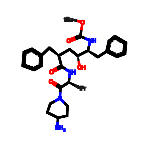 CC(C)[C@H](NC(=O)[C@@H](Cc1ccccc1)C[C@@H](O)[C@H](Cc1ccccc1)NC(=O)OC(C)(C)C)C(=O)N1CCC(N)CC1